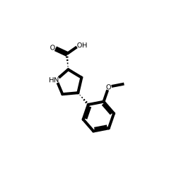 COc1ccccc1[C@@H]1CN[C@H](C(=O)O)C1